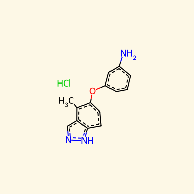 Cc1c(Oc2cccc(N)c2)ccc2[nH]ncc12.Cl